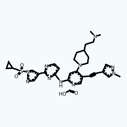 CN(C)CCC1CCN(c2cc(Nc3ccnc(-c4cnn(S(=O)(=O)C5CC5)c4)n3)ncc2C#Cc2cnn(C)c2)CC1.O=CO